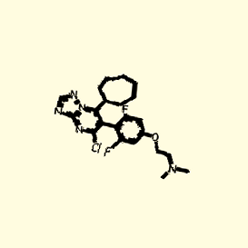 CN(C)CCOc1cc(F)c(-c2c(Cl)nc3ncnn3c2C2CCCCCC2)c(F)c1